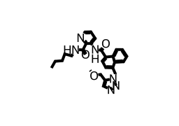 CCCCCNC(=O)c1ncccc1NC(=O)c1ccc(Cn2nncc2COC)c2ccccc12